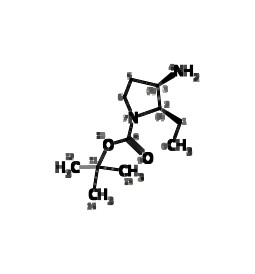 CC[C@@H]1[C@H](N)CCN1C(=O)OC(C)(C)C